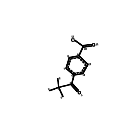 CC(C)(C)C(=O)c1ccc(C(=O)Cl)cc1